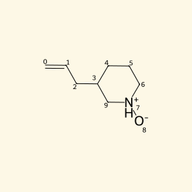 C=CCC1CCC[NH+]([O-])C1